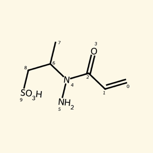 C=CC(=O)N(N)C(C)CS(=O)(=O)O